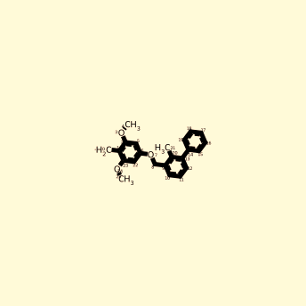 [CH2]c1c(OC)cc(OCc2cccc(-c3ccccc3)c2C)cc1OC